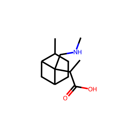 CNCC1(C(C)C(=O)O)C2CCC(C)C1C2